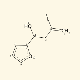 C=C(I)CC(O)c1ccco1